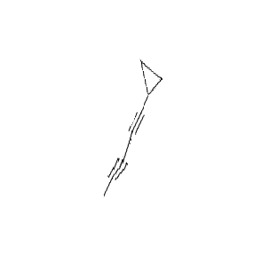 CC#CC#CC1CC1